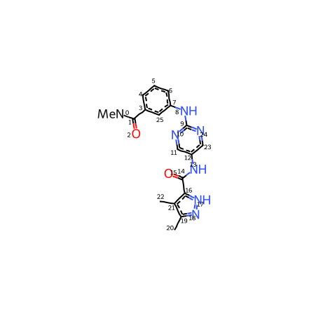 CNC(=O)c1cccc(Nc2ncc(NC(=O)c3[nH]nc(C)c3C)cn2)c1